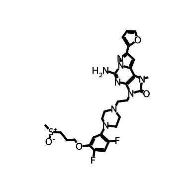 Cn1c(=O)n(CCN2CCN(c3cc(OCCC[S+](C)[O-])c(F)cc3F)CC2)c2nc(N)n3nc(-c4ccco4)cc3c21